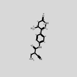 CCC(C#N)C(=O)Nc1ccc(C2=NNC(=O)CC2C)cc1